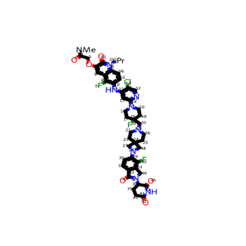 CNC(=O)COc1cc2c(F)c(Nc3cc(N4CCC(F)(CN5CCC6(CC5)CN(c5ccc7c(c5F)CN(C5CCC(=O)NC5=O)C7=O)C6)CC4)ncc3Cl)ccc2n(C(C)C)c1=O